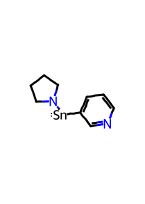 c1cnc[c]([Sn][N]2CCCC2)c1